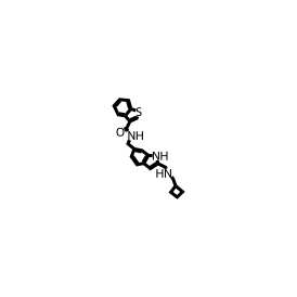 O=C(NCc1ccc2cc(CNCC3CCC3)[nH]c2c1)c1csc2ccccc12